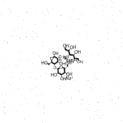 O=C([O-])O.OC[C@@H](O)[C@@H](O)[C@H](O)[C@H](O)CO.OC[C@H]1O[C@@H](O[C@H]2[C@H](O)[C@@H](O)[C@@H](O)O[C@@H]2CO)[C@H](O)[C@@H](O)[C@H]1O.[Na+]